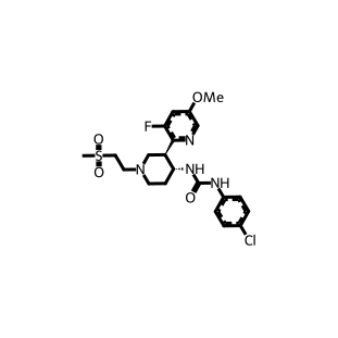 COc1cnc([C@@H]2CN(CCS(C)(=O)=O)CC[C@H]2NC(=O)Nc2ccc(Cl)cc2)c(F)c1